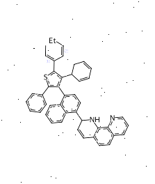 C/C=C(\C=C/CC)c1sc(-c2ccccc2)c(-c2ccc(C3C=Cc4ccc5cccnc5c4N3)c3ccccc23)c1C1C=CC=CC1